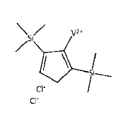 C[Si](C)(C)C1=CCC([Si](C)(C)C)=[C]1[V+2].[Cl-].[Cl-]